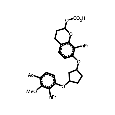 CCCc1c(OC2CCC(Oc3ccc(C(C)=O)c(OC)c3CCC)C2)ccc2c1OC(OC(=O)O)CC2